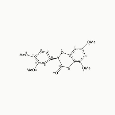 COc1cc(OC)c2c(c1)O[C@H](c1ccc(OC)c(OC)c1)C(=O)C2